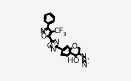 [N-]=[N+]=NC1COc2cc(-c3noc(-c4onc(-c5ccccc5)c4C(F)(F)F)n3)ccc2C1O